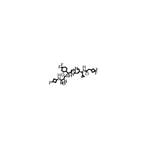 O=C(CC1CC(F)(F)C1)N[C@@H](c1cnn2cc([C@@H](NC(=O)c3nonc3NC3CC(F)C3)C3CCC(F)(F)CC3)nc2c1)C1CC1